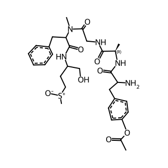 CC(=O)Oc1ccc(CC(N)C(=O)N[C@H](C)C(=O)NCC(=O)N(C)C(Cc2ccccc2)C(=O)NC(CO)CC[S+](C)[O-])cc1